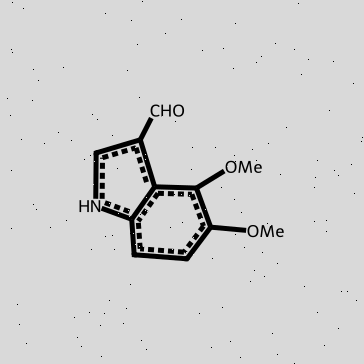 COc1ccc2[nH]cc(C=O)c2c1OC